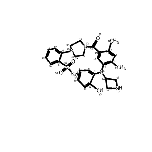 Cc1cc(C)c(N(c2ccccc2C#N)C2CNC2)cc1C(=O)N1CCN(c2ccccc2S(N)(=O)=O)CC1